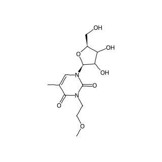 COCCn1c(=O)c(C)cn([C@H]2O[C@@H](CO)C(O)C2O)c1=O